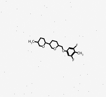 Cc1c(F)cc(OCC2CCC(C3CCC(C)CO3)CO2)cc1F